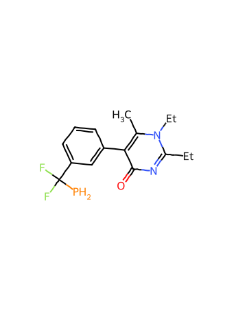 CCc1nc(=O)c(-c2cccc(C(F)(F)P)c2)c(C)n1CC